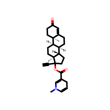 C#CC1(OC(=O)C2=CN(C)C=CC2)CC[C@H]2[C@@H]3CCC4=CC(=O)CC[C@]4(C)[C@@H]3CC[C@@]21C